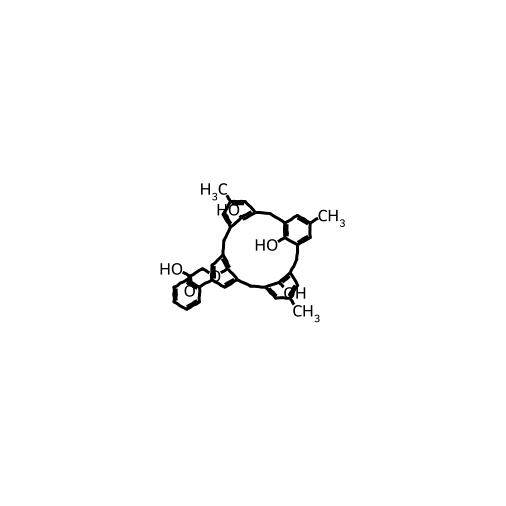 Cc1cc2c(O)c(c1)Cc1cc(C)cc(c1O)Cc1cc(-c3ccccc3)cc(c1OCC(=O)O)Cc1cc(C)cc(c1O)C2